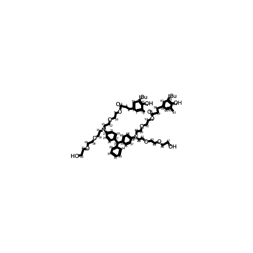 Cc1cc(CCC(=O)OCCOCCN(CCOCCOCCO)c2ccc(C(c3ccccc3)c3ccc(N(CCOCCOCCO)CCOCCOC(=O)CCc4cc(C)c(O)c(C(C)(C)C)c4)cc3)cc2)cc(C(C)(C)C)c1O